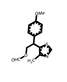 COc1ccc(C(COC=O)c2scnc2C)cc1